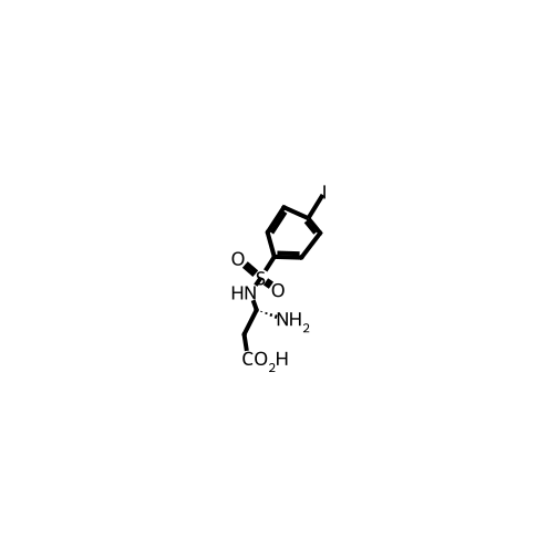 N[C@H](CC(=O)O)NS(=O)(=O)c1ccc(I)cc1